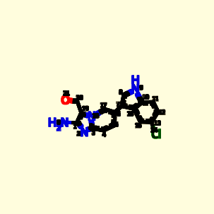 Nc1nc2ccc(-c3c[nH]c4ccc(Cl)cc34)cn2c1C=O